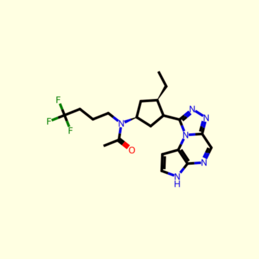 CC[C@@H]1C[C@H](N(CCCC(F)(F)F)C(C)=O)CC1c1nnc2cnc3[nH]ccc3n12